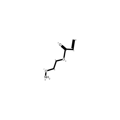 C=CC(=O)OCCON